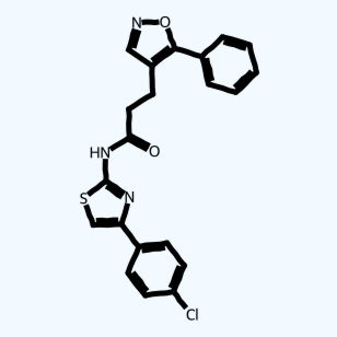 O=C(CCc1cnoc1-c1ccccc1)Nc1nc(-c2ccc(Cl)cc2)cs1